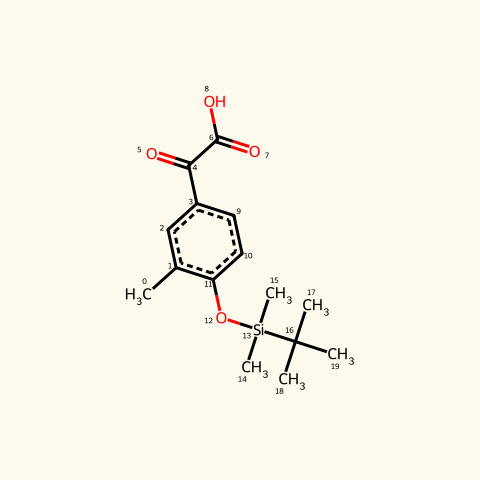 Cc1cc(C(=O)C(=O)O)ccc1O[Si](C)(C)C(C)(C)C